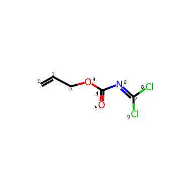 C=CCOC(=O)N=C(Cl)Cl